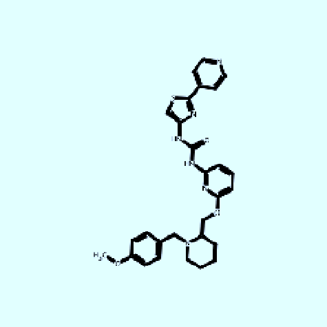 COc1ccc(CN2CCCCC2COc2cccc(NC(=O)Nc3csc(-c4ccncc4)n3)n2)cc1